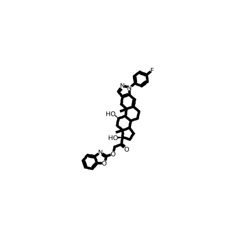 CC12Cc3cnn(-c4ccc(F)cc4)c3C=C1CCC1C2[C@@H](O)CC2(C)C1CC[C@]2(O)C(=O)COc1nc2ccccc2o1